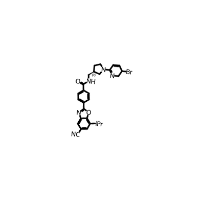 CC(C)c1cc(C#N)cc2nc(-c3ccc(C(=O)NC[C@H]4CCN(C5=NCC(Br)C=C5)C4)cc3)oc12